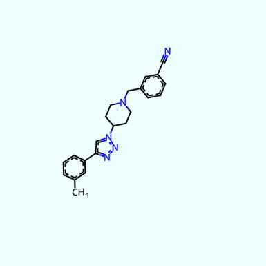 Cc1cccc(-c2cn(C3CCN(Cc4cccc(C#N)c4)CC3)nn2)c1